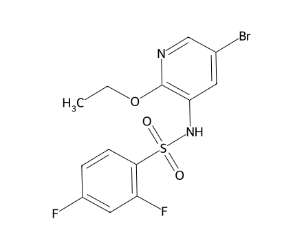 CCOc1ncc(Br)cc1NS(=O)(=O)c1ccc(F)cc1F